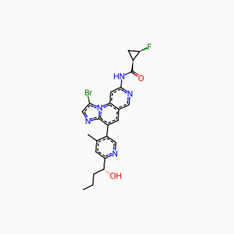 CCC[C@@H](O)c1cc(C)c(-c2cc3cnc(NC(=O)[C@H]4C[C@H]4F)cc3n3c(Br)cnc23)cn1